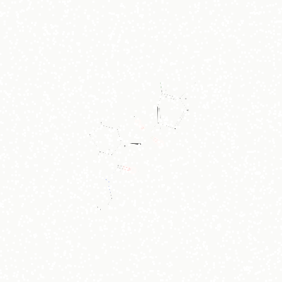 N#CCNC(=O)[C@@H]1CCCC[C@H]1CS(=O)(=O)c1ccc(Cl)c(Cl)c1